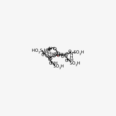 CC(C)(CCN=[N+]=N)OCCC(C)(C)C(=O)NC(COCCC(=O)NC(COCCC(=O)NCCS(=O)(=O)O)COCCC(=O)NCCS(=O)(=O)O)COCCC(=O)NC(COCCC(=O)NCCS(=O)(=O)O)COCCC(=O)NCCS(=O)(=O)O